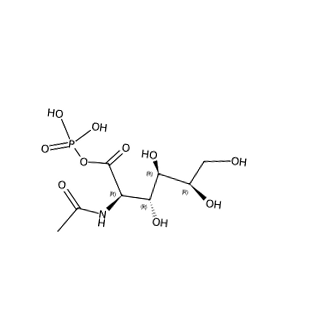 CC(=O)N[C@@H](C(=O)OP(=O)(O)O)[C@@H](O)[C@@H](O)[C@H](O)CO